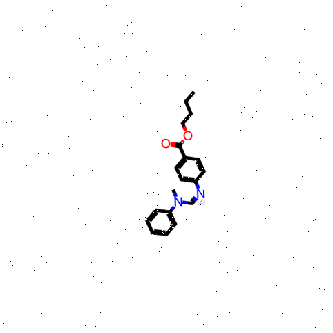 CCCCOC(=O)c1ccc(/N=C\N(C)c2ccccc2)cc1